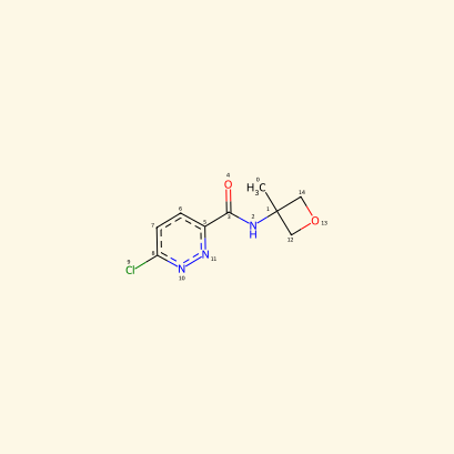 CC1(NC(=O)c2ccc(Cl)nn2)COC1